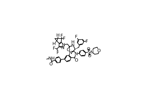 CNC(=O)c1ccc(-c2ccc3c(=O)n(-c4ccc(S(=O)(=O)N5CCOCC5)cc4)c([C@H](Cc4cc(F)cc(F)c4)NC(=O)Cn4nc(C(F)F)c5c4C(F)(F)[C@H]4C[C@@H]54)nc3c2)cc1